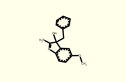 COc1ccc2c(c1)C(O)(Cc1ccccc1)C(N)=N2